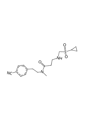 CN(CCc1ccc(C#N)cc1)C(=O)CCNCS(=O)(=O)C1CC1